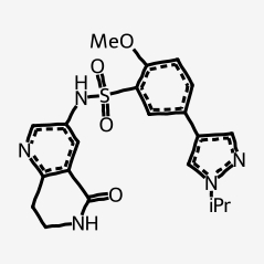 COc1ccc(-c2cnn(C(C)C)c2)cc1S(=O)(=O)Nc1cnc2c(c1)C(=O)NCC2